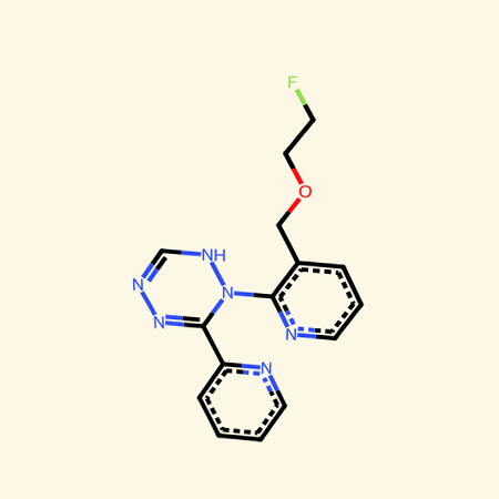 FCCOCc1cccnc1N1NC=NN=C1c1ccccn1